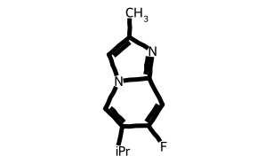 Cc1cn2cc(C(C)C)c(F)cc2n1